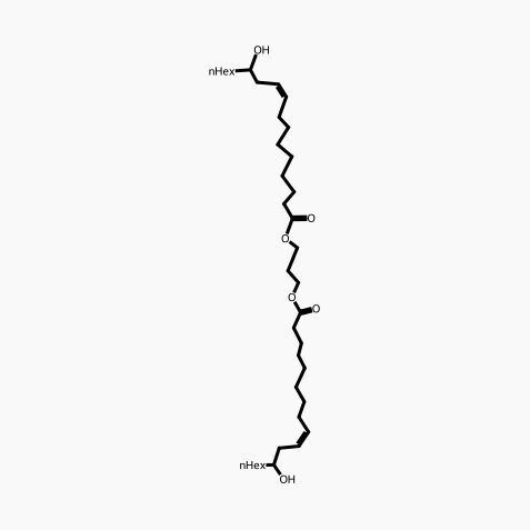 CCCCCCC(O)C/C=C\CCCCCCCC(=O)OCCCOC(=O)CCCCCCC/C=C\CC(O)CCCCCC